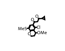 COC1CCOc2c(SC)cc(C(=O)CC(=O)C3CC3)c(Cl)c21